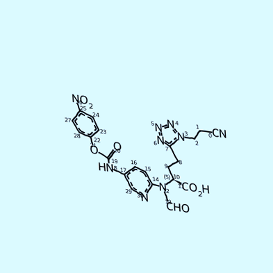 N#CCCn1nnnc1CC[C@@H](C(=O)O)N(C=O)c1ccc(NC(=O)Oc2ccc([N+](=O)[O-])cc2)cn1